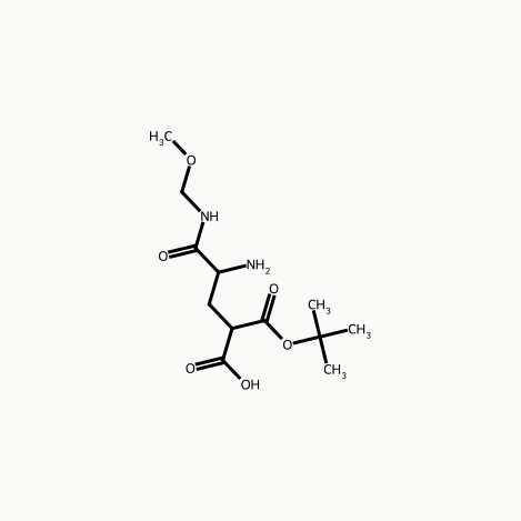 COCNC(=O)C(N)CC(C(=O)O)C(=O)OC(C)(C)C